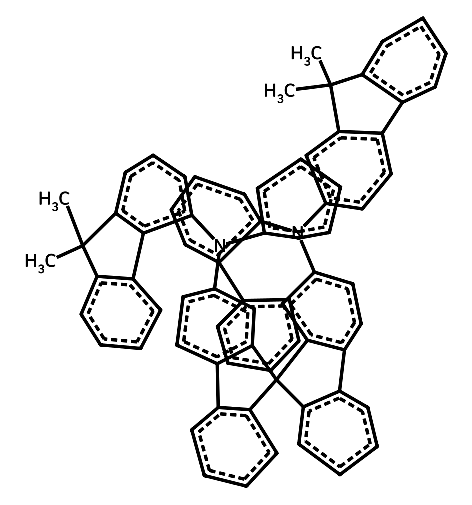 CC1(C)c2ccccc2-c2ccc(N(c3ccc4c(c3)C3(c5ccccc5-4)c4ccccc4-c4ccc(N(c5ccccc5)c5cccc6c5-c5ccccc5C6(C)C)cc43)c3ccccc3-c3ccccc3)cc21